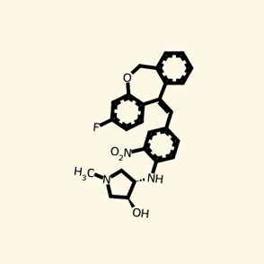 CN1C[C@H](Nc2ccc(C=C3c4ccccc4COc4cc(F)ccc43)cc2[N+](=O)[O-])[C@@H](O)C1